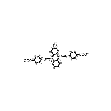 O=C([O-])c1ccc(C#Cc2c3ccccc3c(C#Cc3ccc(C(=O)[O-])cc3)c3ccccc23)cc1.[Li+].[Li+]